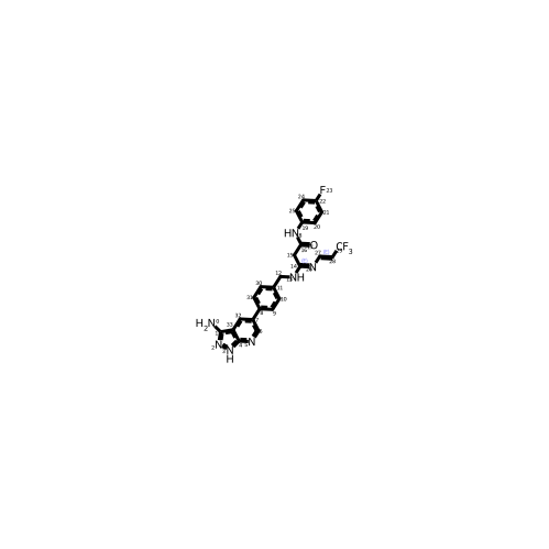 Nc1n[nH]c2ncc(-c3ccc(CN/C(CC(=O)Nc4ccc(F)cc4)=N/C=C/C(F)(F)F)cc3)cc12